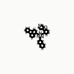 c1ccc2c(c1)-c1cccc3c(-c4nc(-c5ccc6ccccc6c5)nc(-c5cccc6oc7cnccc7c56)n4)ccc-2c13